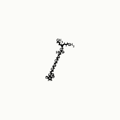 C=CCCC1C(CCCC)[C@@H]1COC(=O)NCCOCCOCCOCCOCCC(=O)ON1C(=O)CCC1=O